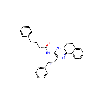 O=C(CCCc1ccccc1)Nc1nc2c(nc1/C=C/c1ccccc1)-c1ccccc1CC2